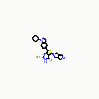 Cl.O=c1[nH]cnc2c(-c3ccc4c(c3)ncn4C3CCCCC3)sc(N3CC4=CNCC4C3)c12